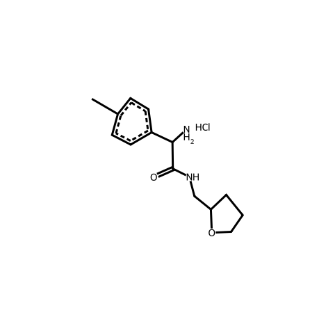 Cc1ccc(C(N)C(=O)NCC2CCCO2)cc1.Cl